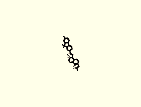 Cc1ccc2c(c1)C(C)(C)c1cc(-c3cc4c(ccc5c4ccc4cc(C)sc45)s3)ccc1-2